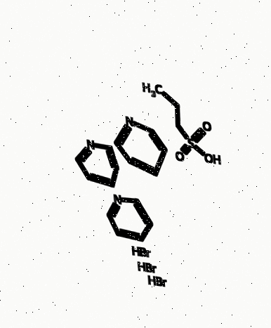 Br.Br.Br.CCCS(=O)(=O)O.c1ccncc1.c1ccncc1.c1ccncc1